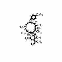 COc1ccc(CC2CCN(C)C[C@H](C)C[C@@](C)(O)[C@H](O[C@@H]3O[C@H](C)C[C@H](N(C)C)[C@H]3O)[C@@H](C)[C@H](O)C(C)C(=O)N2)cc1